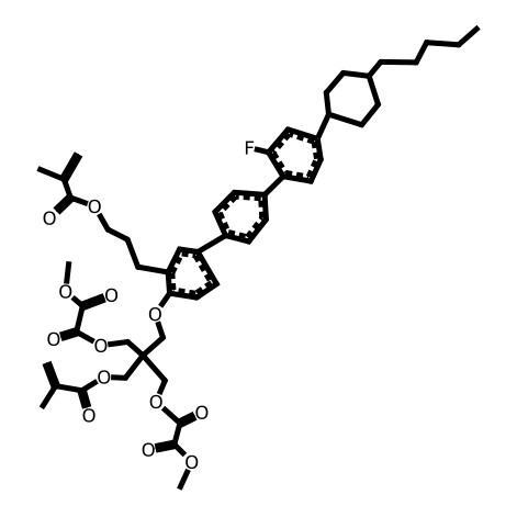 C=C(C)C(=O)OCCCc1cc(-c2ccc(-c3ccc(C4CCC(CCCCC)CC4)cc3F)cc2)ccc1OCC(COC(=O)C(=C)C)(COC(=O)C(=O)OC)COC(=O)C(=O)OC